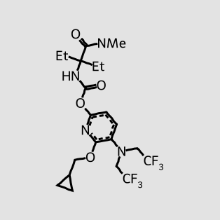 CCC(CC)(NC(=O)Oc1ccc(N(CC(F)(F)F)CC(F)(F)F)c(OCC2CC2)n1)C(=O)NC